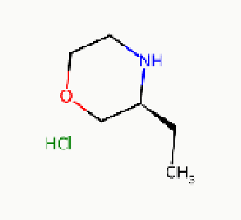 CC[C@H]1COCCN1.Cl